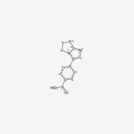 O=C(O)c1ccc(-c2cnc3n2CCS3)cc1